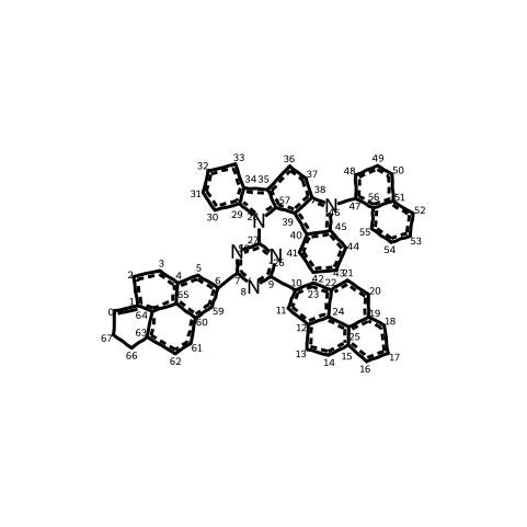 C1=c2ccc3cc(-c4nc(-c5cc6ccc7cccc8ccc(c5)c6c78)nc(-n5c6ccccc6c6ccc7c(c8ccccc8n7-c7cccc8ccccc78)c65)n4)cc4ccc(c2c43)CC1